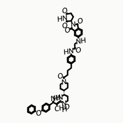 N=C(/C(C=O)=C1/NCC[C@@H](C2CCN(C(=O)CCCc3ccc(NC(=O)CNc4ccc5c(c4)C(=O)N(C4CCC(=O)NC4=O)C5=O)cc3)CC2)N1)c1ccc(Oc2ccccc2)cc1